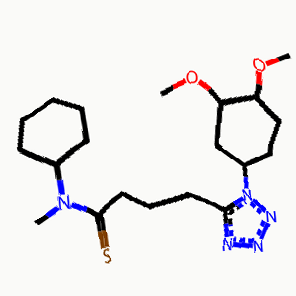 COC1CCC(n2nnnc2CCCC(=S)N(C)C2CCCCC2)CC1OC